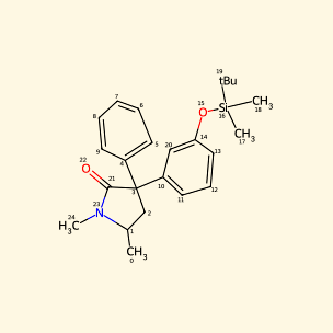 CC1CC(c2ccccc2)(c2cccc(O[Si](C)(C)C(C)(C)C)c2)C(=O)N1C